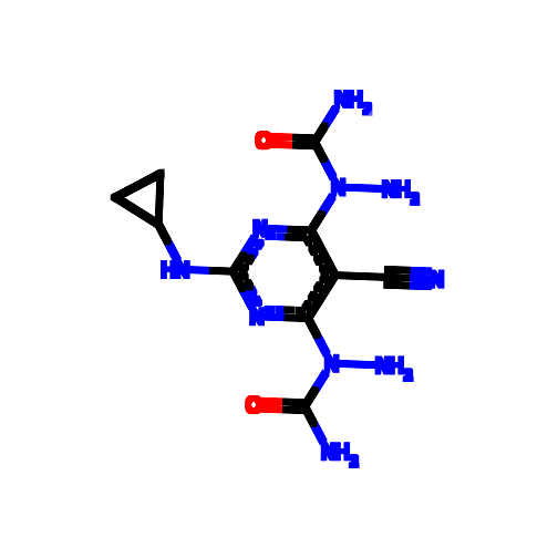 N#Cc1c(N(N)C(N)=O)nc(NC2CC2)nc1N(N)C(N)=O